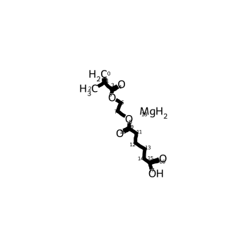 C=C(C)C(=O)OCCOC(=O)CCCCC(=O)O.[MgH2]